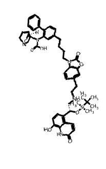 CC(C)(C)[Si](C)(C)O[C@@H](CNCCc1ccc2c(c1)oc(=O)n2CCCCc1ccc(-c2ccccc2)c(N(C(=O)O)[C@H]2CN3CCC2CC3)c1)c1ccc(O)c2[nH]c(=O)ccc12